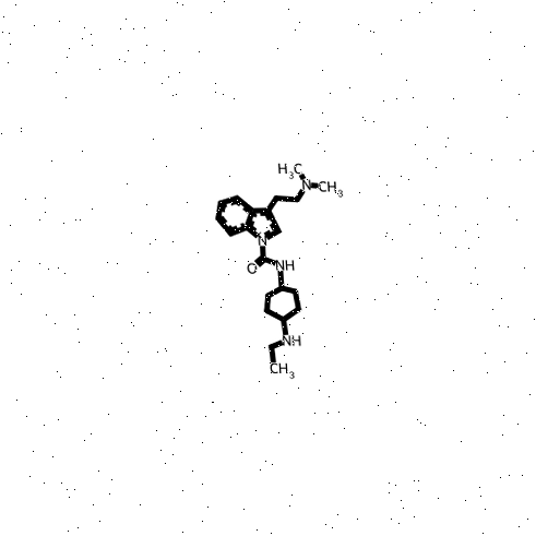 CCNC1CCC(NC(=O)n2cc(CCN(C)C)c3ccccc32)CC1